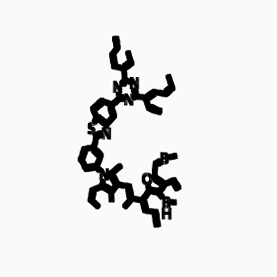 C=C/C=C\C(=C/C)c1nc(/C(C=C)=C/C=C\C)nc(-c2ccc3sc(-c4cccc(-n5c(C)c(/C=C(C)/C(=C/C=C)c6oc(/C=B\C)c(C=C)c6BC)c(C)c5/C=C\C)c4)nc3c2)n1